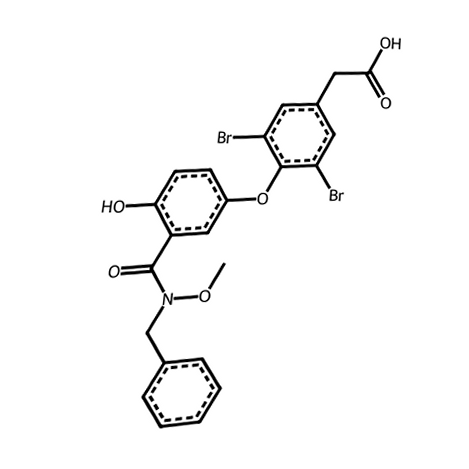 CON(Cc1ccccc1)C(=O)c1cc(Oc2c(Br)cc(CC(=O)O)cc2Br)ccc1O